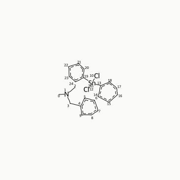 CN(C)Cc1ccccc1.[Cl][Sn]([Cl])([c]1ccccc1)[c]1ccccc1